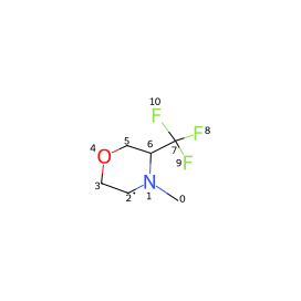 CN1[CH]COCC1C(F)(F)F